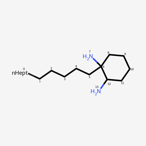 CCCCCCCCCCCCC1(N)CCCCC1N